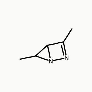 CC1=NN2C(C)C12